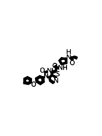 C=CC(=O)NC1CCC(NC(=O)C2=C3NC(=O)N(c4ccc(Oc5ccccc5)cc4)C4C=CN=C(S2)C34)C1